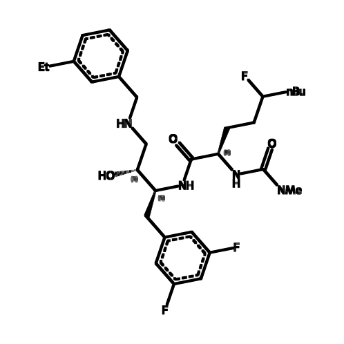 CCCCC(F)CC[C@@H](NC(=O)NC)C(=O)N[C@@H](Cc1cc(F)cc(F)c1)[C@H](O)CNCc1cccc(CC)c1